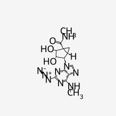 CNC(=O)[C@@]12C[C@@H]1[C@@H](n1cnc3c(NC)nc(N=[N+]=[N-])nc31)C(O)C2O